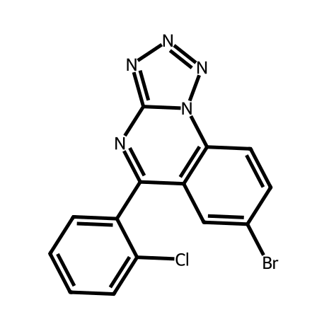 Clc1ccccc1-c1nc2nnnn2c2ccc(Br)cc12